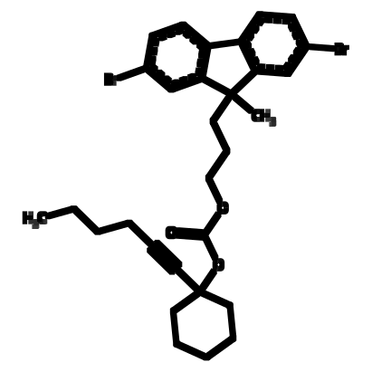 CCCCC#CC1(OC(=O)OCCCC2(C)c3cc(Br)ccc3-c3ccc(Br)cc32)CCCCC1